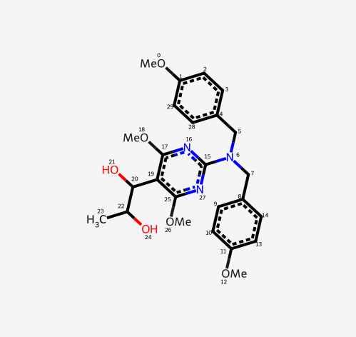 COc1ccc(CN(Cc2ccc(OC)cc2)c2nc(OC)c(C(O)C(C)O)c(OC)n2)cc1